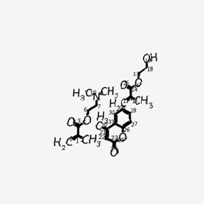 C=C(C)C(=O)OCCN(C)C.C=C(C)C(=O)OCCO.Cc1cc(=O)oc2ccccc12